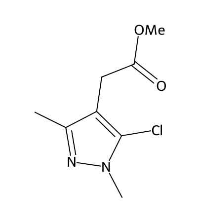 COC(=O)Cc1c(C)nn(C)c1Cl